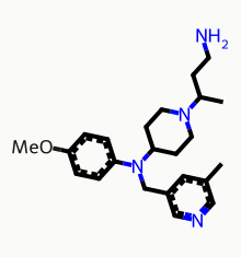 COc1ccc(N(Cc2cncc(C)c2)C2CCN(C(C)CCN)CC2)cc1